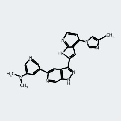 Cc1cn(-c2ccnc3[nH]c(-c4n[nH]c5cnc(-c6cncc(N(C)C)c6)cc45)cc23)cn1